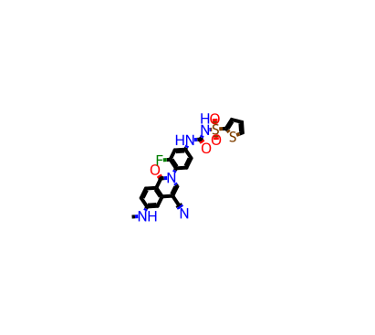 CNc1ccc2c(=O)n(-c3ccc(NC(=O)NS(=O)(=O)c4cccs4)cc3F)cc(C#N)c2c1